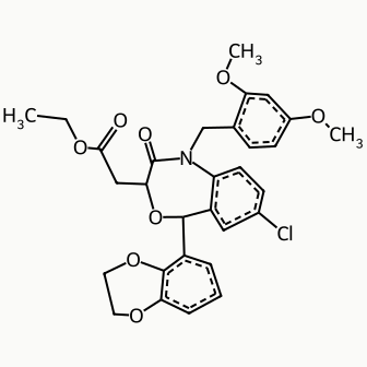 CCOC(=O)CC1OC(c2cccc3c2OCCO3)c2cc(Cl)ccc2N(Cc2ccc(OC)cc2OC)C1=O